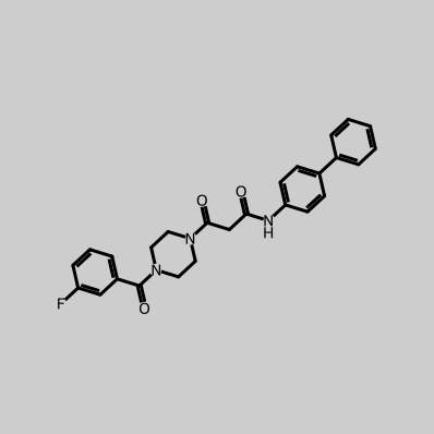 O=C(CC(=O)N1CCN(C(=O)c2cccc(F)c2)CC1)Nc1ccc(-c2ccccc2)cc1